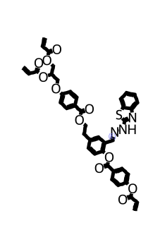 C=CC(=O)OCC(COc1ccc(C(=O)OCCc2ccc(OC(=O)c3ccc(OC(=O)C=C)cc3)c(/C=N/Nc3nc4ccccc4s3)c2)cc1)OC(=O)C=C